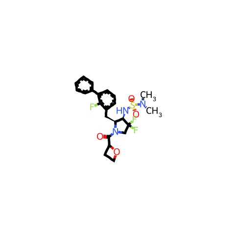 CN(C)S(=O)(=O)N[C@@H]1[C@H](Cc2cccc(-c3ccccc3)c2F)N(C(=O)C2CCO2)CC1(F)F